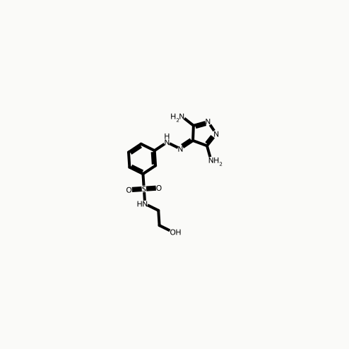 NC1=NN=C(N)C1=NNc1cccc(S(=O)(=O)NCCO)c1